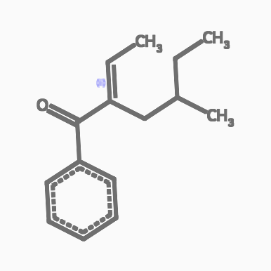 C/C=C(\CC(C)CC)C(=O)c1ccccc1